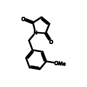 COc1cccc(CN2C(=O)C=CC2=O)c1